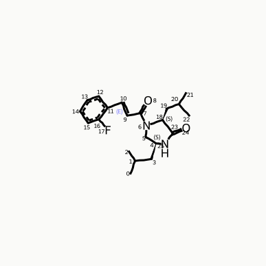 CC(C)C[C@H]1CN(C(=O)/C=C/c2ccccc2F)[C@@H](CC(C)C)C(=O)N1